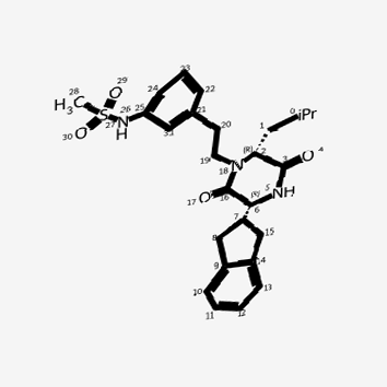 CC(C)C[C@@H]1C(=O)N[C@H](C2Cc3ccccc3C2)C(=O)N1CCc1cccc(NS(C)(=O)=O)c1